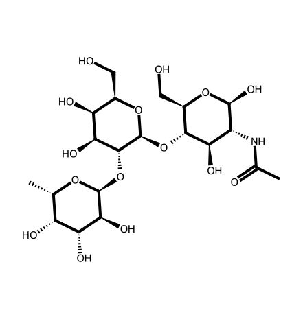 CC(=O)N[C@@H]1[C@@H](O)[C@H](O[C@@H]2O[C@H](CO)[C@H](O)[C@H](O)[C@H]2O[C@@H]2O[C@@H](C)[C@@H](O)[C@@H](O)[C@@H]2O)[C@@H](CO)O[C@H]1O